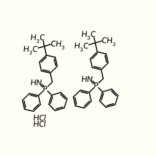 CC(C)(C)c1ccc(CP(=N)(c2ccccc2)c2ccccc2)cc1.CC(C)(C)c1ccc(CP(=N)(c2ccccc2)c2ccccc2)cc1.Cl.Cl